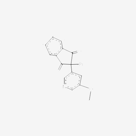 COc1cncc(C2(Br)C(=O)c3ccccc3C2=O)c1